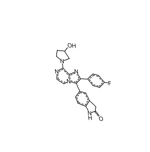 O=C1Cc2cc(-c3c(-c4ccc(F)cc4)nc4c(N5CCC(O)C5)nccn34)ccc2N1